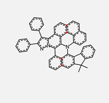 CC1(C)c2ccccc2-c2c(N(c3cccc4ccccc34)c3c(-c4ccccc4)n4nc(-c5ccccc5)c(-c5ccccc5)c4c4ccccc34)cccc21